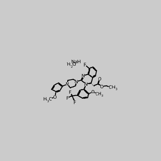 CCOC(=O)C[C@H]1c2cccc(F)c2N=C(N2CCN(c3cccc(OC)c3)CC2)N1c1cc(C(F)(F)F)ccc1OC.O.[NaH]